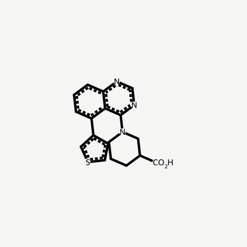 O=C(O)C1CCCN(c2ncnc3cccc(-c4ccsc4)c23)C1